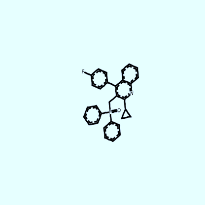 O=P(Cc1c(C2CC2)nc2ccccc2c1-c1ccc(F)cc1)(c1ccccc1)c1ccccc1